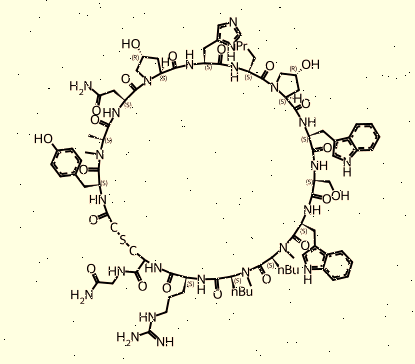 CCCC[C@H]1C(=O)N(C)[C@@H](CCCC)C(=O)N[C@@H](CCCNC(=N)N)C(=O)NC(C(=O)NCC(N)=O)CSCC(=O)N[C@@H](Cc2ccc(O)cc2)C(=O)N(C)[C@@H](C)C(=O)N[C@@H](CC(N)=O)C(=O)N2C[C@H](O)C[C@H]2C(=O)N[C@@H](Cc2cnc[nH]2)C(=O)N[C@@H](CC(C)C)C(=O)N2C[C@H](O)C[C@H]2C(=O)N[C@@H](Cc2c[nH]c3ccccc23)C(=O)N[C@@H](CO)C(=O)N[C@@H](Cc2c[nH]c3ccccc23)C(=O)N1C